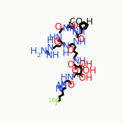 N=C(N)NCCC[C@@H]1NC(=O)[C@H](CCCCNC(=O)C2O[C@H](CNC(=O)Cn3cc(CCC[18F])nn3)[C@H](O)C(O)[C@@H]2O)NC(=O)[C@@H](Cc2ccccc2)NC(=O)[C@H](CC(=O)O)NC(=O)CNC1=O